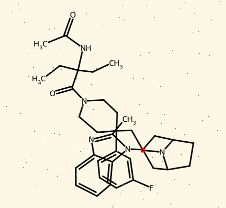 CCC(CC)(NC(C)=O)C(=O)N1CCC(CCN2C3CCC2CC(n2c(C)nc4ccccc42)C3)(c2cccc(F)c2)CC1